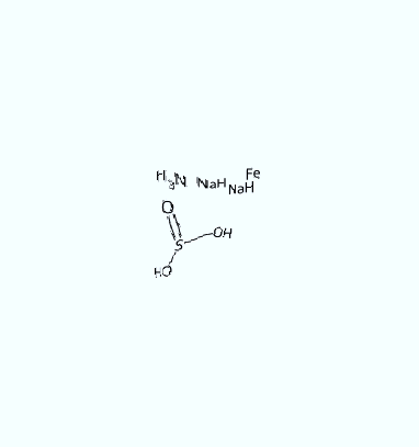 N.O=S(O)O.[Fe].[NaH].[NaH]